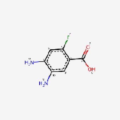 Nc1cc(F)c(C(=O)O)cc1N